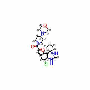 C=C1Nc2c(Cl)cc3cc(C(=O)N4CCC(N5CCOCC5)CC4)oc3c2C2(CCCCC2)N1